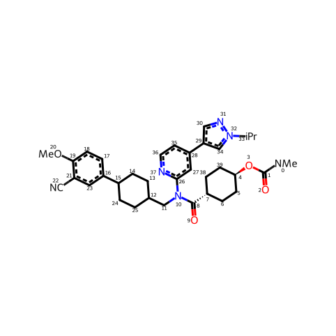 CNC(=O)O[C@H]1CC[C@H](C(=O)N(CC2CCC(c3ccc(OC)c(C#N)c3)CC2)c2cc(-c3cnn(C(C)C)c3)ccn2)CC1